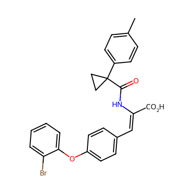 Cc1ccc(C2(C(=O)N/C(=C\c3ccc(Oc4ccccc4Br)cc3)C(=O)O)CC2)cc1